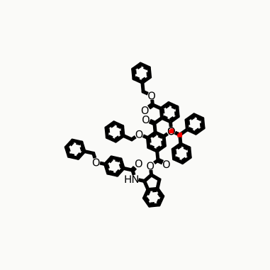 O=C(NC1c2ccccc2CC1OC(=O)c1cc(OCc2ccccc2)c(C(=O)c2c(OCc3ccccc3)cccc2C(=O)OCc2ccccc2)c(OCc2ccccc2)c1)c1ccc(OCc2ccccc2)cc1